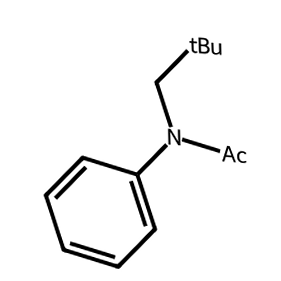 CC(=O)N(CC(C)(C)C)c1ccccc1